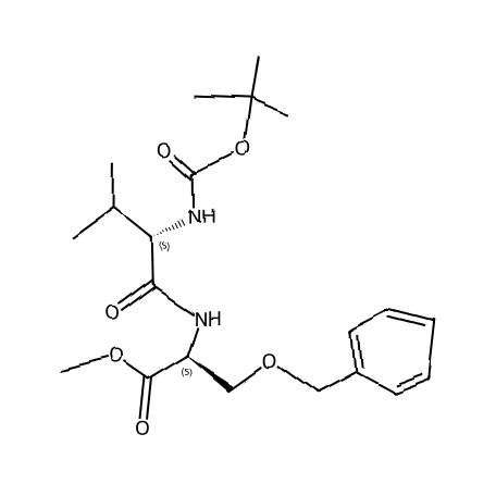 COC(=O)[C@H](COCc1ccccc1)NC(=O)[C@@H](NC(=O)OC(C)(C)C)C(C)C